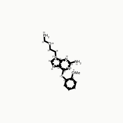 COc1ccccc1Sc1nc(N)nc2c1ncn2CCOCP